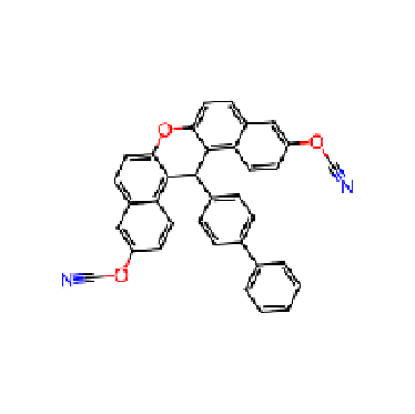 N#COc1ccc2c3c(ccc2c1)Oc1ccc2cc(OC#N)ccc2c1C3c1ccc(-c2ccccc2)cc1